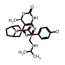 CC(C)NC[C@@H](C(=O)N1CC2CCC(C1)N2c1ncnc2c1[C@@H](C)OC(=O)N2)c1ccc(Cl)cc1